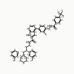 Cc1cc(-c2ncnc3[nH]c(C(=O)NCCCCN4[C@@H](c5ncccc5C)CCC[C@H]4c4ncccc4C)cc23)ccc1CNC(=O)c1ccc(C(C)(C)C)cc1